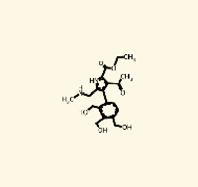 CCOC(=O)c1[nH]c(CNC)c(-c2ccc(CO)c(CO)c2CO)c1C(C)=O